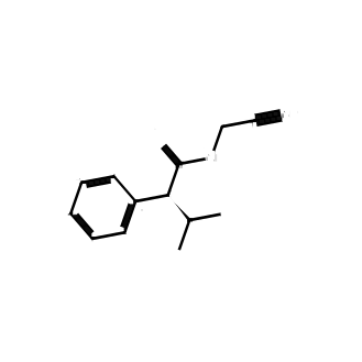 CC(C)[C@H](C(=O)NCC#N)c1ccccc1